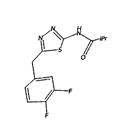 CC(C)C(=O)Nc1nnc(Cc2ccc(F)c(F)c2)s1